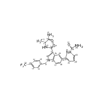 CC(NC(=O)c1cn(Cc2ccc(C(F)(F)F)cc2)c2ccc(-c3cccc(C(N)=O)n3)cc12)C(N)=O